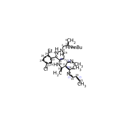 C=C(CNNC(/C(=C\F)NC(=C)C(/C=N\C)=C(C)\N=C/C=C\C)c1cc(Cl)ccc1CC)NCCCC